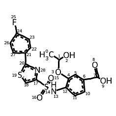 CC(O)Oc1cc(C(=O)O)ccc1NS(=O)(=O)c1csc(-c2ccc(F)cc2)n1